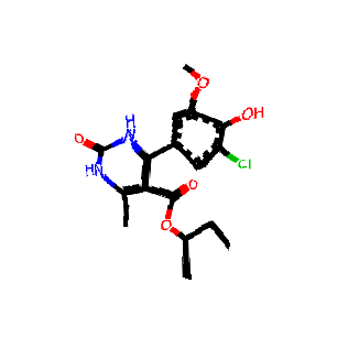 CCC(C)OC(=O)C1=C(C)NC(=O)NC1c1cc(Cl)c(O)c(OC)c1